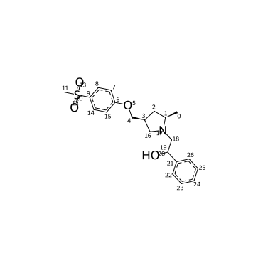 C[C@@H]1C[C@H](COc2ccc(S(C)(=O)=O)cc2)CN1CC(O)c1ccccc1